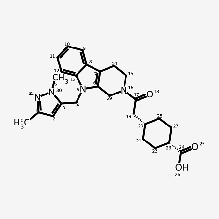 Cc1cc(Cn2c3c(c4ccccc42)CCN(C(=O)C[C@H]2CC[C@@H](C(=O)O)CC2)C3)n(C)n1